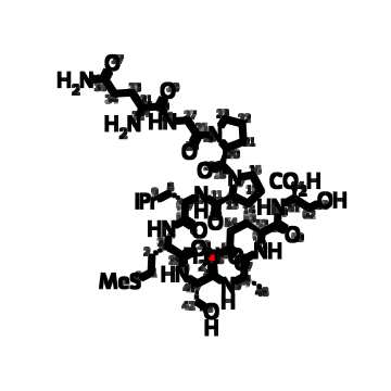 CSCC[C@H](NC(=O)[C@H](CC(C)C)NC(=O)[C@@H]1CCCN1C(=O)[C@@H]1CCCN1C(=O)CNC(=O)[C@@H](N)CCC(N)=O)C(=O)N[C@@H](CO)C(=O)N[C@@H](C)C(=O)N[C@@H](CCC(N)=O)C(=O)N[C@@H](CO)C(=O)O